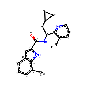 Cc1cccnc1C(CC1CC1)NC(=O)c1cc2cccc(C)c2[nH]1